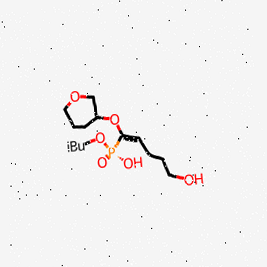 CCC(C)O[P@@](=O)(O)C(=CCCCO)OC1CCCOC1